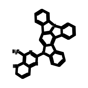 Cc1nc(-n2c3ccccc3c3c4c5ccccc5n5c6ccccc6c(cc32)c45)nc2c1NCC=C2